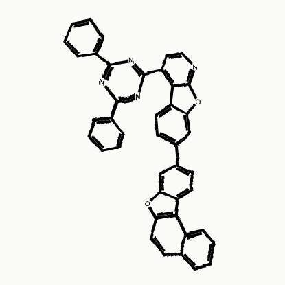 c1ccc(-c2nc(-c3ccccc3)nc(-c3ccnc4oc5cc(-c6ccc7c(c6)oc6ccc8ccccc8c67)ccc5c34)n2)cc1